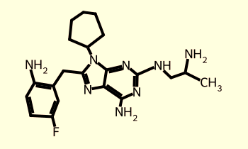 CC(N)CNc1nc(N)c2nc(Cc3cc(F)ccc3N)n(C3CCCCC3)c2n1